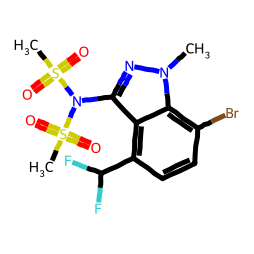 Cn1nc(N(S(C)(=O)=O)S(C)(=O)=O)c2c(C(F)F)ccc(Br)c21